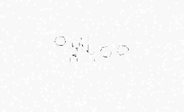 CCCCS[C@H](CN(C(=O)OCc1ccccc1)C(C)C(=O)OC)c1ccc(-c2ccccc2)cc1